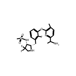 Cc1ccc(C(C)N)nc1Oc1cccc(C[C@@H]2NCC(F)(F)[C@@H]2NS(C)(=O)=O)c1F